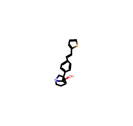 OC1(c2ccc(/C=C/c3cccs3)cc2)CN2CCC1CC2